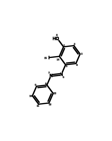 Oc1cccc(N=Nc2ccccc2)c1I